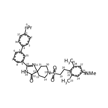 CCCc1ccc(-c2cccc(C3=NC4(CCN(S(=O)(=O)CCc5c(C)cc(NC)cc5C)CC4)C(=O)N3)c2)cc1